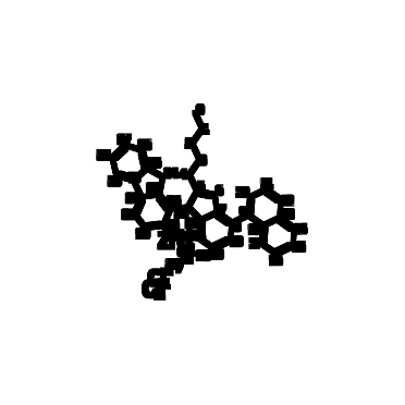 CCCCCC1=Cc2c(-c3cccc4ccccc34)cccc2C1c1[c]([Zr+2][SiH](C)C)ccc2c1Cc1ccccc1-2.[Cl-].[Cl-]